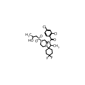 CC(O)CS(=O)(=O)N1CCN(C2(C(C)NC(=O)c3ccc(Cl)cc3Cl)CCC(F)(F)CC2)CC1